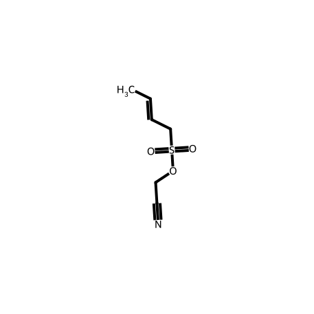 CC=CCS(=O)(=O)OCC#N